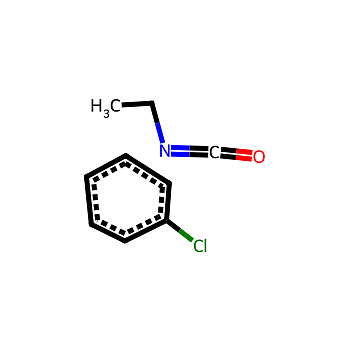 CCN=C=O.Clc1ccccc1